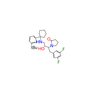 CC(C)(C)c1cccc(C2(NCC(O)C(Cc3cc(F)cc(F)c3)N3CCCC3=O)CCCCC2)c1